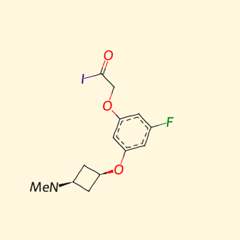 CN[C@H]1C[C@@H](Oc2cc(F)cc(OCC(=O)I)c2)C1